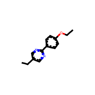 CCOc1ccc(-c2ncc(CC)cn2)cc1